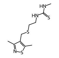 CNC(=S)NCCSCc1c(C)nsc1C